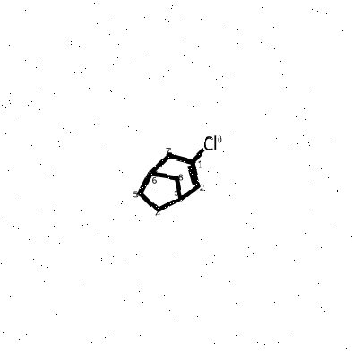 ClC1=CC2CCC(C1)C2